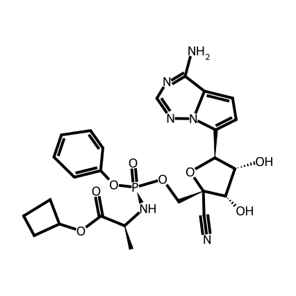 C[C@H](N[P@@](=O)(OC[C@@]1(C#N)O[C@@H](c2ccc3c(N)ncnn23)[C@H](O)[C@@H]1O)Oc1ccccc1)C(=O)OC1CCC1